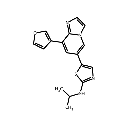 CC(C)Nc1ncc(-c2cc(-c3ccoc3)c3nccn3c2)s1